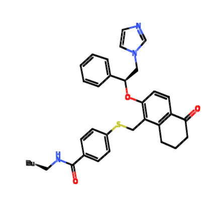 CC[C@H](C)CNC(=O)c1ccc(SCc2c(O[C@H](Cn3ccnc3)c3ccccc3)ccc3c2CCCC3=O)cc1